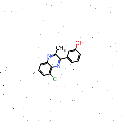 Cc1nc2cccc(Cl)c2nc1-c1cccc(O)c1